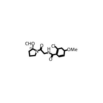 COC1C=CC(C(=O)NCC(=O)N2CCC[C@H]2C=O)=C(Cl)C1